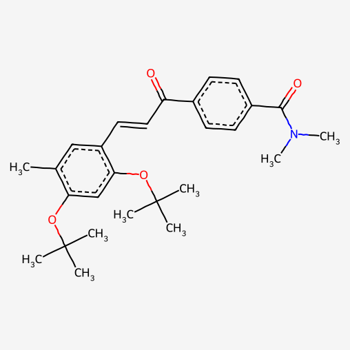 Cc1cc(/C=C/C(=O)c2ccc(C(=O)N(C)C)cc2)c(OC(C)(C)C)cc1OC(C)(C)C